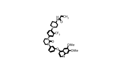 C=CC(=O)NC1CCN(c2ccc(N3CCCN(c4cccc(Oc5ccnc6cc(OC)c(OC)cc56)c4)C3=O)cc2C(F)(F)F)CC1